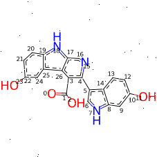 O=C(O)c1c(-c2c[nH]c3cc(O)ccc23)ncc2[nH]c3ccc(O)cc3c12